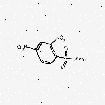 CCCCCS(=O)(=O)c1ccc([N+](=O)[O-])cc1[N+](=O)[O-]